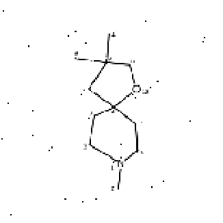 CN1CCC2(CC1)CC(C)(C)CO2